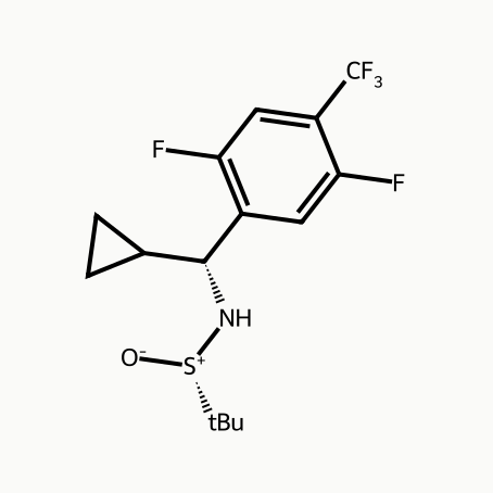 CC(C)(C)[S@+]([O-])N[C@@H](c1cc(F)c(C(F)(F)F)cc1F)C1CC1